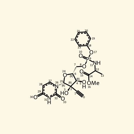 C#C[C@@]1(O)[C@H](O)[C@@H](COP(=O)(NC(C)C(=O)OC)Oc2ccccc2)O[C@H]1n1ccc(=O)[nH]c1=O